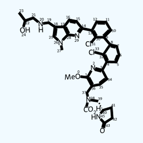 COc1nc(-c2cccc(-c3cccc(-c4ccc5c(CNCC(C)O)cn(C)c5n4)c3Cl)c2Cl)ccc1CN(C[C@@H]1CCC(=O)N1)C(=O)O